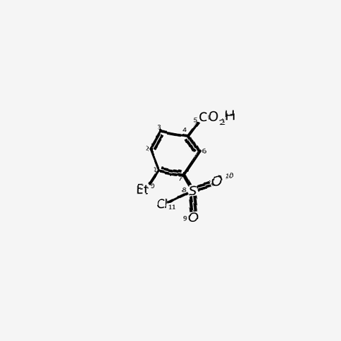 CCc1ccc(C(=O)O)cc1S(=O)(=O)Cl